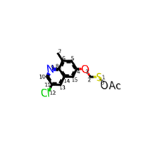 CC(=O)OSCOc1cc(C)c2ncc(Cl)cc2c1